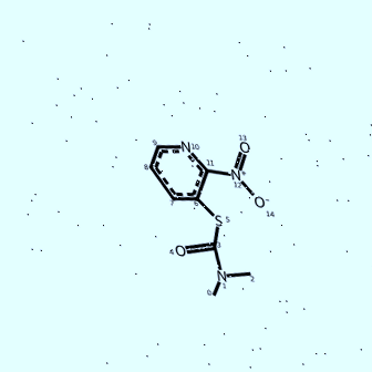 CN(C)C(=O)Sc1cccnc1[N+](=O)[O-]